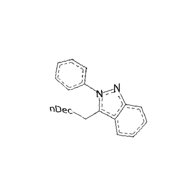 CCCCCCCCCCCc1c2ccccc2nn1-c1ccccc1